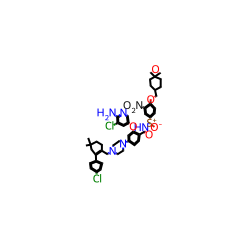 CC1(C)CCC(CN2CCN(c3ccc(C(=O)N[S+]([O-])c4ccc(OCC5CCC6(CC5)COC6)c([N+](=O)[O-])c4)c(Oc4cnc(N)c(Cl)c4)c3)CC2)=C(c2ccc(Cl)cc2)C1